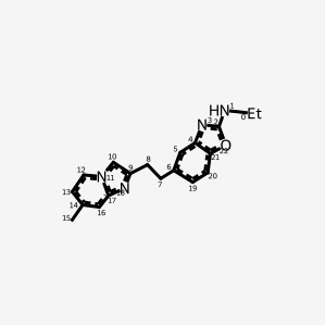 CCNc1nc2cc(CCc3cn4ccc(C)cc4n3)ccc2o1